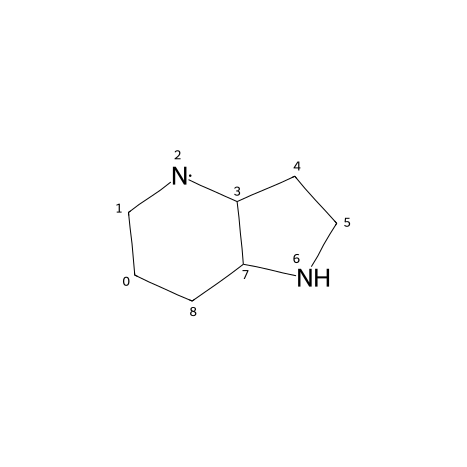 C1C[N]C2CCNC2C1